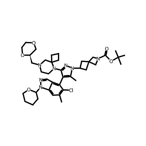 Cc1cc2c(cnn2C2CCCCO2)c(-c2c(N3CCN(C[C@@H]4COCCO4)CC34CCC4)nn(C3CC4(C3)CN(C(=O)OC(C)(C)C)C4)c2C)c1Cl